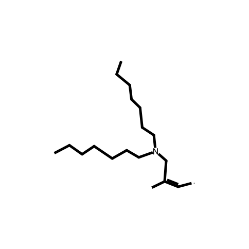 [CH2]C=C(C)CN(CCCCCCC)CCCCCCC